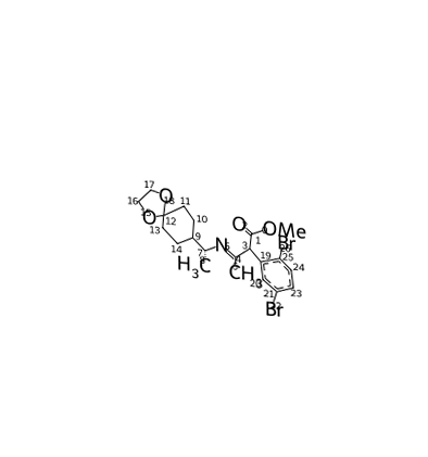 COC(=O)C(/C(C)=N/[C@H](C)C1CCC2(CC1)OCCO2)c1cc(Br)ccc1Br